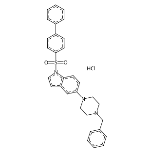 Cl.O=S(=O)(c1ccc(-c2ccccc2)cc1)n1ccc2cc(N3CCN(Cc4ccccc4)CC3)ccc21